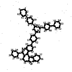 c1ccc(-c2ccc(-c3cc(-c4ccc(-c5ccc6c(c5)nc(-c5ccccc5)c5ccc7sc8ccccc8c7c56)cc4)nc(-c4ccc(-c5ccccc5)cc4)n3)cc2)cc1